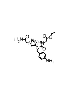 CCOC(=O)CNC(=O)N(Cc1ccc(N)cc1)c1cn(CC(N)=O)nn1